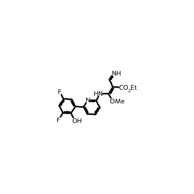 CCOC(=O)/C(C=N)=C(/Nc1cccc(-c2cc(F)cc(F)c2O)n1)OC